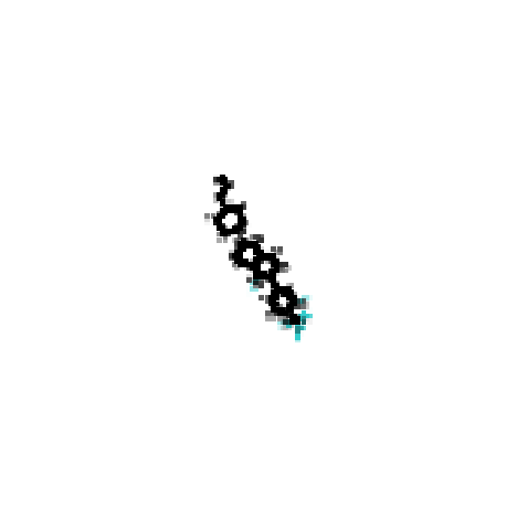 CCC[C@H]1CC[C@H](c2ccc3c(F)c(-c4ccc(C(F)(F)F)c(F)c4)ccc3c2)CC1